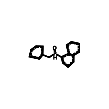 O=[PH](Cc1ccccc1)c1cccc2ccccc12